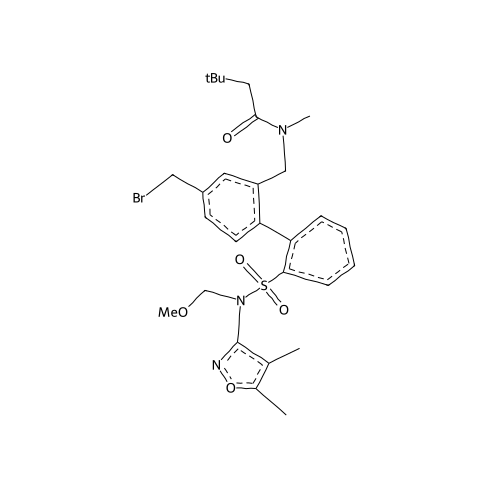 COCN(c1noc(C)c1C)S(=O)(=O)c1ccccc1-c1ccc(CBr)cc1CN(C)C(=O)CC(C)(C)C